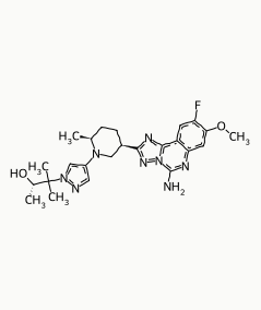 COc1cc2nc(N)n3nc([C@@H]4CC[C@H](C)N(c5cnn(C(C)(C)[C@H](C)O)c5)C4)nc3c2cc1F